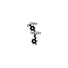 COC(=O)c1ccc(CNCCCc2cccc(F)c2)cc1.Cl